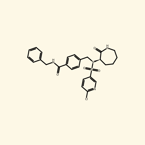 O=C(NCc1ccccc1)c1ccc(CN([C@@H]2CCCCNC2=O)S(=O)(=O)c2ccc(Cl)nc2)cc1